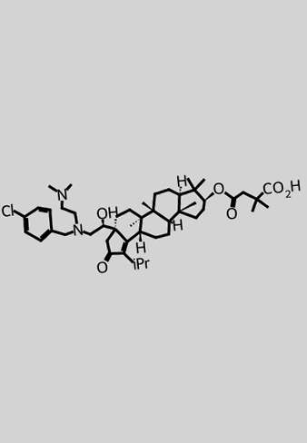 CC(C)C1=C2[C@H]3CC[C@@H]4[C@@]5(C)CC[C@H](OC(=O)CC(C)(C)C(=O)O)C(C)(C)[C@@H]5CC[C@@]4(C)[C@]3(C)CC[C@@]2([C@H](O)CN(CCN(C)C)Cc2ccc(Cl)cc2)CC1=O